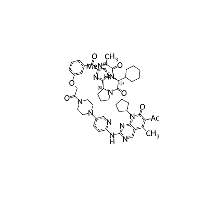 CN[C@@H](C)C(=O)N[C@H](C(=O)N1CCC[C@H]1c1nc(C(=O)c2cccc(OCC(=O)N3CCN(c4ccc(Nc5ncc6c(C)c(C(C)=O)c(=O)n(C7CCCC7)c6n5)nc4)CC3)c2)cs1)C1CCCCC1